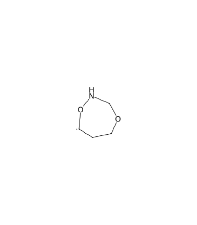 [CH]1CCOCNO1